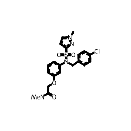 CNC(=O)COc1cccc(N(Cc2ccc(Cl)cc2)S(=O)(=O)c2ccn(C)n2)c1